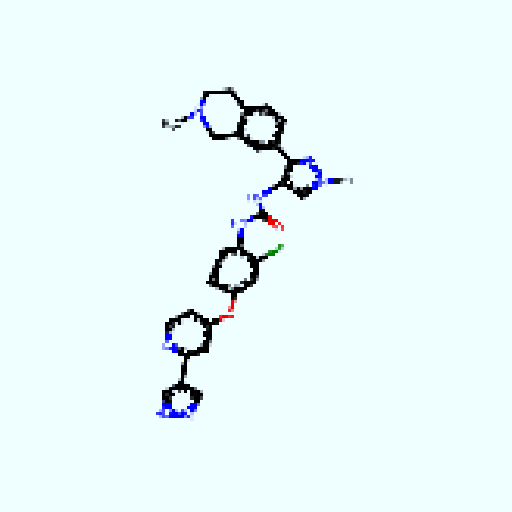 CN1CCc2ccc(-c3nn(C(C)(C)C)cc3NC(=O)Nc3ccc(Oc4ccnc(-c5cn[nH]c5)c4)cc3F)cc2C1